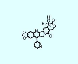 CC[C@@]1(O)C(=O)OCc2c1cc1n(c2=O)Cc2c-1nc1cc3c(cc1c2-c1cccnc1)OCO3